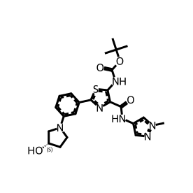 Cn1cc(NC(=O)c2nc(-c3cccc(N4CC[C@H](O)C4)c3)sc2NC(=O)OC(C)(C)C)cn1